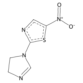 O=[N+]([O-])c1cnc(N2C=NCC2)s1